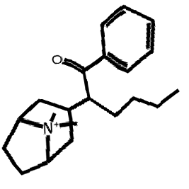 CCCCC(C(=O)c1ccccc1)C1CC2CCC(C1)[N+]2(C)C